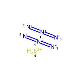 [N-]=[N+]=[N-].[N-]=[N+]=[N-].[SH4+2]